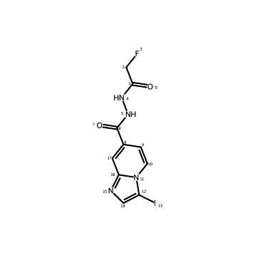 O=C(CF)NNC(=O)c1ccn2c(I)cnc2c1